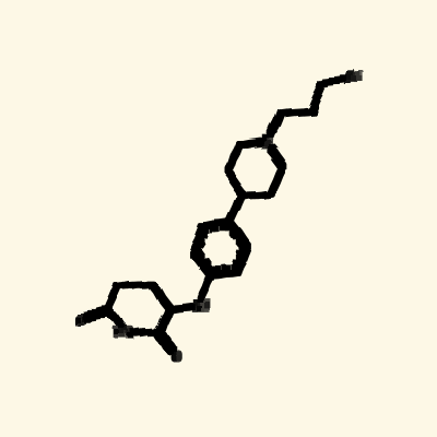 CC(=O)CCCN1CCC(c2ccc(NC3CCC(=O)NC3=O)cc2)CC1